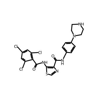 O=C(Nc1ccc(N2CCNCC2)cc1)c1ncsc1NC(=O)c1c(Cl)cc(Cl)cc1Cl